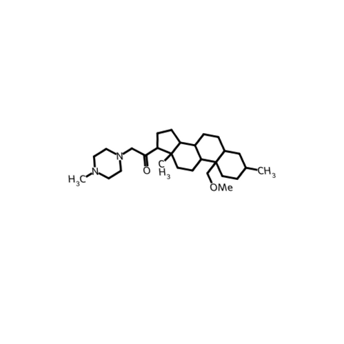 COCC12CCC(C)CC1CCC1C3CCC(C(=O)CN4CCN(C)CC4)C3(C)CCC12